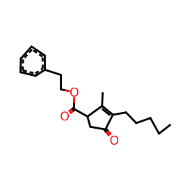 CCCCCC1=C(C)C(C(=O)OCCc2ccccc2)CC1=O